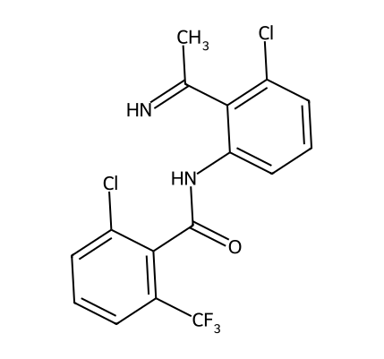 CC(=N)c1c(Cl)cccc1NC(=O)c1c(Cl)cccc1C(F)(F)F